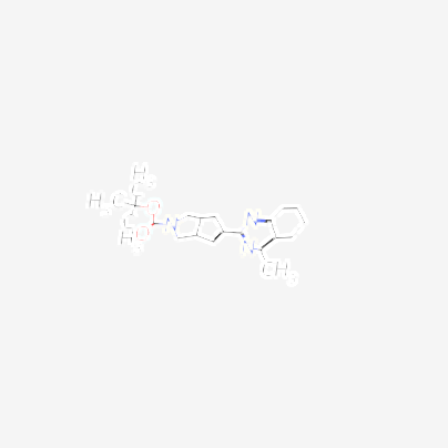 Cc1nc(C2=CC3CN(C(=O)OC(C)(C)C)CC3C2)nc2c1CCCC2